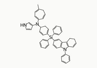 CC1=CC=C(N(c2cc[nH]c2)C2C=CC([Si](c3ccccc3)(c3ccccc3)c3ccc4c(c3)c3c(n4-c4ccccc4)C=CCC3)=CC2)C=CC1